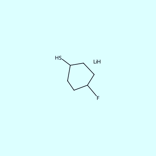 FC1CCC(S)CC1.[LiH]